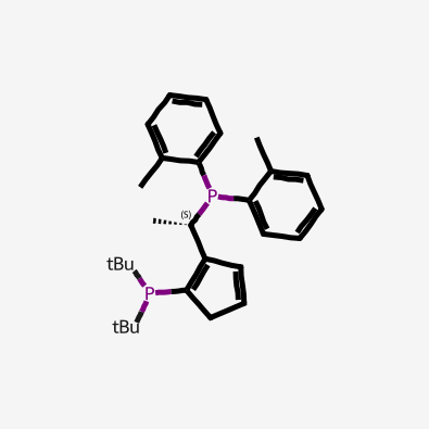 Cc1ccccc1P(c1ccccc1C)[C@@H](C)C1=C(P(C(C)(C)C)C(C)(C)C)CC=C1